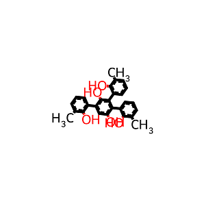 Cc1cccc(-c2cc(O)c(-c3cccc(C)c3O)c(-c3cccc(C)c3O)c2O)c1O